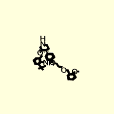 COc1ccccc1COCCCOc1ccc([C@H]2CCNC[C@@H]2OCc2cccc3c2NCC3(C)C)cc1